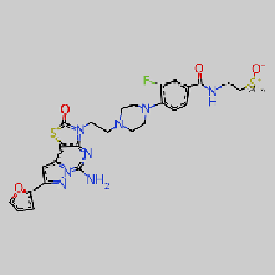 C[S@@+]([O-])CCNC(=O)c1ccc(N2CCN(CCn3c(=O)sc4c3nc(N)n3nc(-c5ccco5)cc43)CC2)c(F)c1